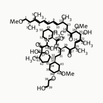 COC[C@@H](C)/C(C)=C/C=C/C=C/[C@@H](C)C[C@@H](C)C(=O)[C@H](OC)[C@H](O)/C(C)=C/[C@@H](C)C(=O)C[C@@H](CC[C@@H]1CC[C@@H](OCCO)[C@H](OC)C1)OC(=O)[C@@H]1CCCCN1C(C)C(=O)[C@]1(O)OCCC[C@H]1C